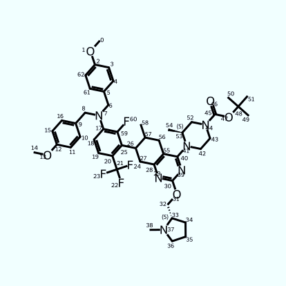 COc1ccc(CN(Cc2ccc(OC)cc2)c2ccc(C(F)(F)F)c(C3Cc4nc(OC[C@@H]5CCCN5C)nc(N5CCN(C(=O)OC(C)(C)C)C[C@@H]5C)c4CC3C)c2F)cc1